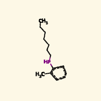 CCCCCCCPc1ccccc1C